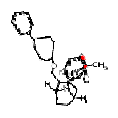 CS(=O)(=O)N[C@H]1C[C@@H]2CC[C@H](C1COC1CCC(c3ccccc3)CC1)N2c1ccccn1